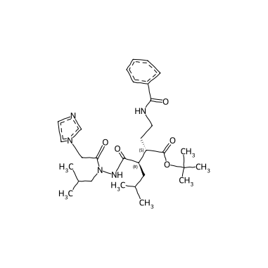 CC(C)C[C@@H](C(=O)NN(CC(C)C)C(=O)Cn1ccnc1)[C@H](CCNC(=O)c1ccccc1)C(=O)OC(C)(C)C